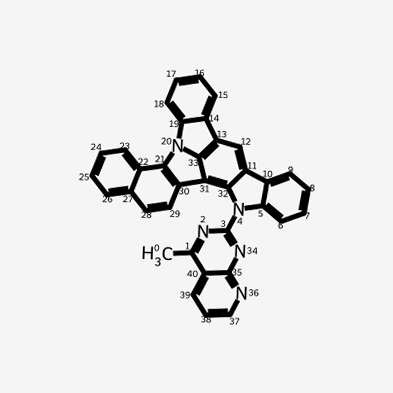 Cc1nc(-n2c3ccccc3c3cc4c5ccccc5n5c6c7ccccc7ccc6c(c32)c45)nc2ncccc12